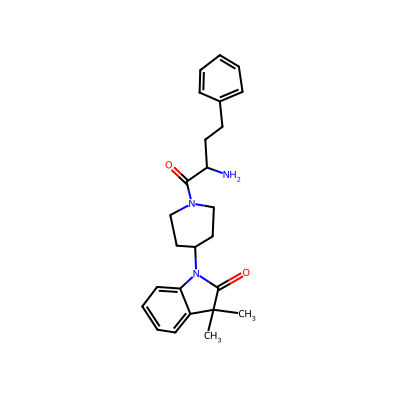 CC1(C)C(=O)N(C2CCN(C(=O)C(N)CCc3ccccc3)CC2)c2ccccc21